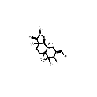 CN1N=C2C(C)(CC[C@H]3C(C)(C)C(O)/C(=C\O)C[C@]23C)C1=O